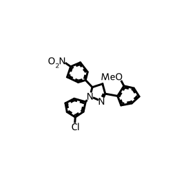 COc1ccccc1C1=NN(c2cccc(Cl)c2)C(c2ccc([N+](=O)[O-])cc2)C1